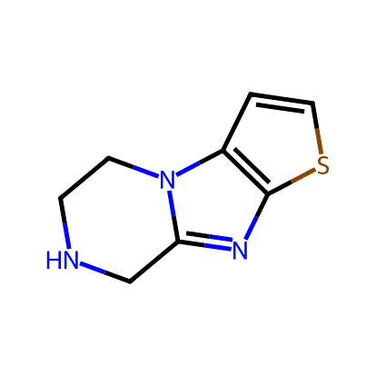 c1cc2c(nc3n2CCNC3)s1